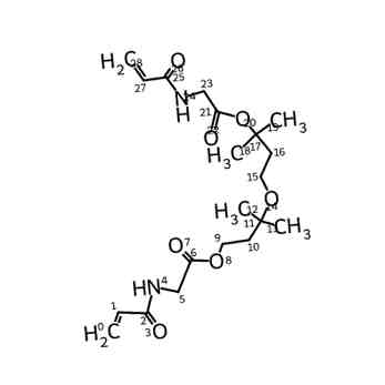 C=CC(=O)NCC(=O)OCCC(C)(C)OCCC(C)(C)OC(=O)CNC(=O)C=C